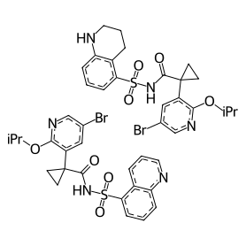 CC(C)Oc1ncc(Br)cc1C1(C(=O)NS(=O)(=O)c2cccc3c2CCCN3)CC1.CC(C)Oc1ncc(Br)cc1C1(C(=O)NS(=O)(=O)c2cccc3ncccc23)CC1